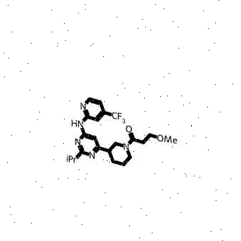 COCCC(=O)N1CCCC(c2cc(Nc3cc(C(F)(F)F)ccn3)nc(C(C)C)n2)C1